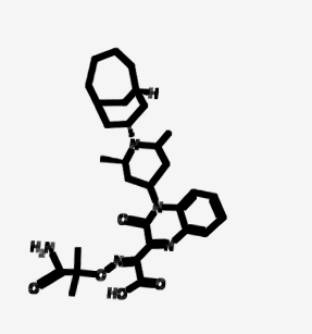 CC1CC(n2c(=O)c(/C(=N/OC(C)(C)C(N)=O)C(=O)O)nc3ccccc32)C[C@@H](C)N1[C@@H]1CC2CCCC[C@@H](C2)C1